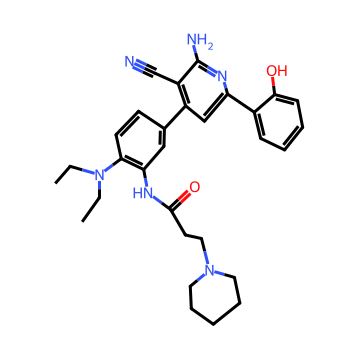 CCN(CC)c1ccc(-c2cc(-c3ccccc3O)nc(N)c2C#N)cc1NC(=O)CCN1CCCCC1